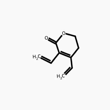 C=CC1=C(C=C)C(=O)OCC1